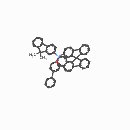 CC1(C)c2ccccc2-c2ccc(N(c3ccc(-c4ccccc4)cc3)c3ccc4c(c3)C3(c5ccccc5-4)c4ccccc4-c4ccc5ccccc5c43)cc21